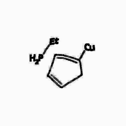 CCP.[Cu][C]1=CC=CC1